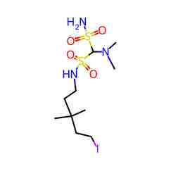 CN(C)C(S(N)(=O)=O)S(=O)(=O)NCCC(C)(C)CCI